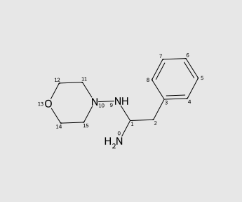 NC(Cc1ccccc1)NN1CCOCC1